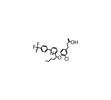 C=C(O)CCc1ccc(OC(CCCC)c2cccc(-c3ccc(C(F)(F)F)cc3)n2)c(Cl)c1